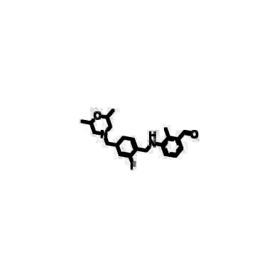 Cc1c(C=O)cccc1NCC1=CCC(CN2CC(C)OC(C)C2)C=C1F